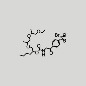 CCCCC(COC(C)COC(C)COCC)OC(=O)NCC(=O)c1ccc(S(=O)(=O)Br)cc1